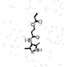 C=CC(=O)OCCC(=O)Nc1c(C)n[nH]c1C